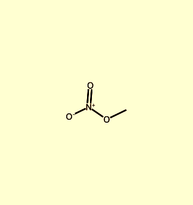 CO[N+](=O)[O-]